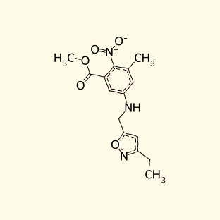 CCc1cc(CNc2cc(C)c([N+](=O)[O-])c(C(=O)OC)c2)on1